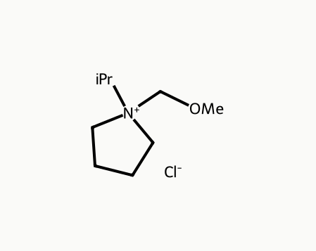 COC[N+]1(C(C)C)CCCC1.[Cl-]